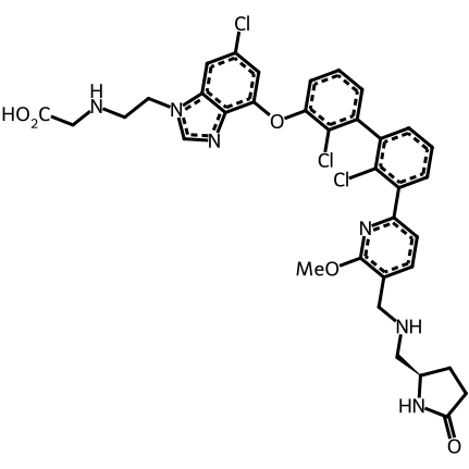 COc1nc(-c2cccc(-c3cccc(Oc4cc(Cl)cc5c4ncn5CCNCC(=O)O)c3Cl)c2Cl)ccc1CNC[C@H]1CCC(=O)N1